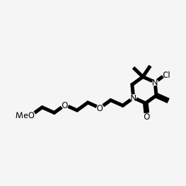 C=C1C(=O)N(CCOCCOCCOC)CC(C)(C)N1Cl